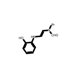 CC(C)N(C=O)C=CNc1ccccc1O